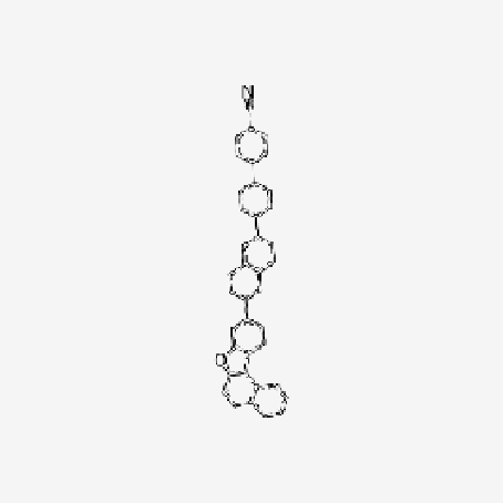 N#Cc1ccc(-c2ccc(-c3ccc4cc(-c5ccc6c(c5)oc5ccc7ccccc7c56)ccc4c3)cc2)cc1